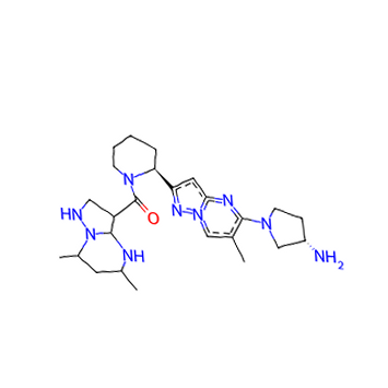 Cc1cn2nc([C@@H]3CCCCN3C(=O)C3CNN4C(C)CC(C)NC34)cc2nc1N1CC[C@H](N)C1